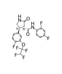 O=C1NC[C@H](c2ccc(F)c(OC(F)(F)C(F)F)c2)[C@H]1C(=O)Nc1ccc(F)cc1F